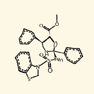 COC(=O)[C@@H]1O[C@](NS(=O)(=O)N2CSc3ccccc32)(c2ccccc2)N[C@H]1c1ccccc1